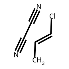 CC=CCl.N#CC#N